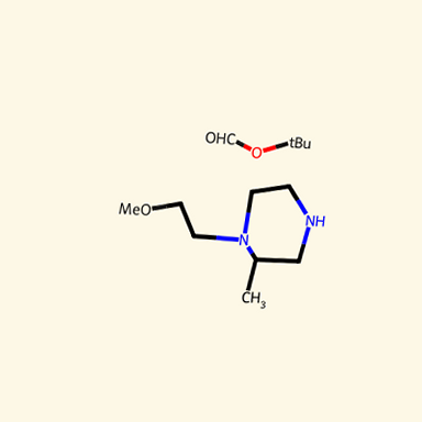 CC(C)(C)OC=O.COCCN1CCNCC1C